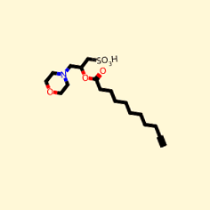 C#CCCCCCCCCC(=O)OC(CN1CCOCC1)CS(=O)(=O)O